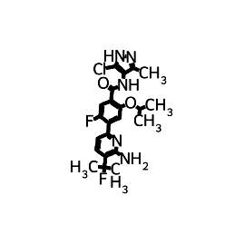 Cc1n[nH]c(Cl)c1NC(=O)c1cc(F)c(-c2ccc(C(C)(C)F)c(N)n2)cc1OC(C)C